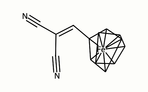 N#CC(C#N)=C[C]12[CH]3[CH]4[CH]5[CH]1[Fe]45321678[CH]2[CH]1[CH]6[CH]7[CH]28